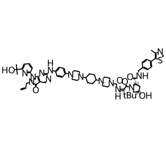 C=CCn1c(=O)c2cnc(Nc3ccc(N4CCN(C5CCC(N6CCN(C(=O)N[C@H](C(=O)N7C[C@H](O)C[C@H]7C(=O)NCc7ccc(-c8scnc8C)cc7)C(C)(C)C)CC6)CC5)CC4)cc3)nc2n1-c1cccc(C(C)(C)O)n1